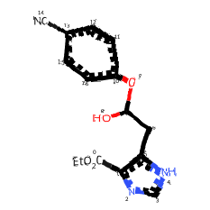 CCOC(=O)c1nc[nH]c1CC(O)Oc1ccc(C#N)cc1